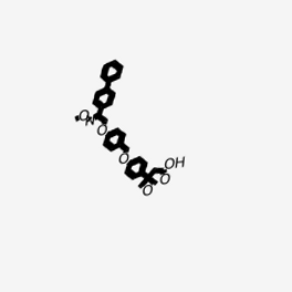 CON=C(COc1ccc(COc2ccc(C3(CC(=O)O)COC3)cc2)cc1)c1ccc(-c2ccccc2)cc1